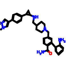 Cn1cc(-c2ccc(C3CC3NCC3CCN(Cc4ccc(C(N)=O)c(-c5ccccc5N)c4)CC3)cc2)cn1